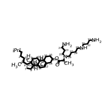 CC(C)CCC[C@@H](C)[C@H]1CC[C@H]2[C@@H]3CC=C4C[C@@H](OC(=O)C(C)N(CCCN)CCCCNCCCN)CC[C@]4(C)[C@H]3CC[C@]12C